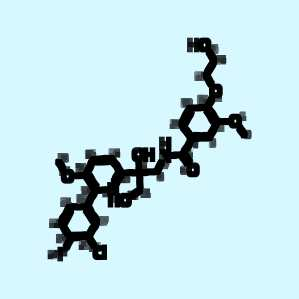 COc1cc(C(=O)NCC(O)(CO)c2ccc(OC)c(-c3ccc(F)c(Cl)c3)n2)ccc1OCCO